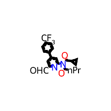 CCCC(=O)N(C(=O)C1CC1)c1cc(-c2ccc(C(F)(F)F)cc2)cc(C=O)n1